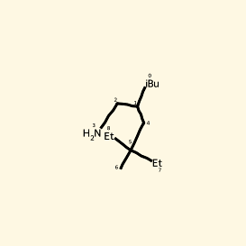 CCC(C)C(CN)CC(C)(CC)CC